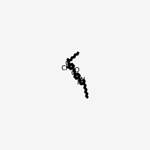 CCCCCCCc1cnc(-c2ccc(OC(=O)c3ccc(OC(C)CCCCCC)c(Cl)c3)cc2)nc1